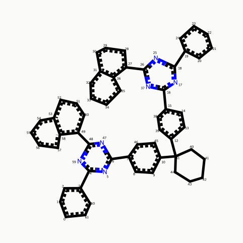 c1ccc(-c2nc(-c3ccc(C4(c5ccc(-c6nc(-c7ccccc7)nc(-c7cccc8ccccc78)n6)cc5)CCCCC4)cc3)nc(-c3cccc4ccccc34)n2)cc1